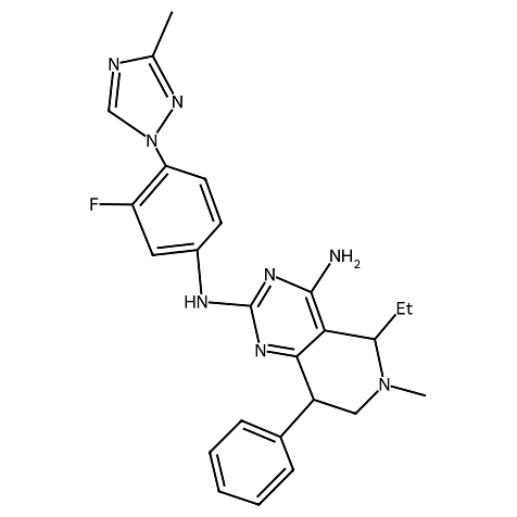 CCC1c2c(N)nc(Nc3ccc(-n4cnc(C)n4)c(F)c3)nc2C(c2ccccc2)CN1C